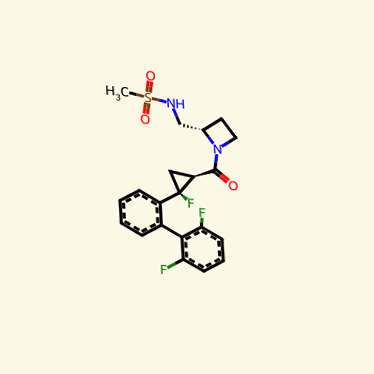 CS(=O)(=O)NC[C@@H]1CCN1C(=O)[C@@H]1C[C@@]1(F)c1ccccc1-c1c(F)cccc1F